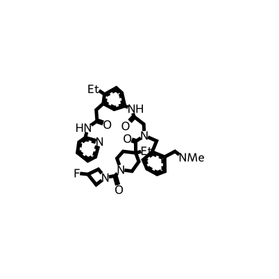 CCc1ccc(NC(=O)CN(Cc2ccccc2CNC)C(=O)C2(CC)CCN(C(=O)N3CC(F)C3)CC2)cc1CC(=O)Nc1ccccn1